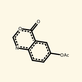 CC(=O)Oc1ccc2ncoc(=O)c2c1